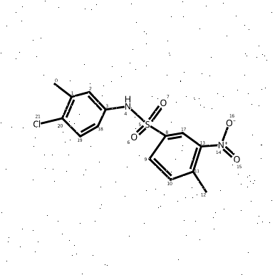 Cc1cc(NS(=O)(=O)c2ccc(C)c([N+](=O)[O-])c2)ccc1Cl